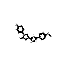 COc1ccc(-c2noc(C3CC(C)N(c4ccc(Cl)cc4)C3)n2)cc1